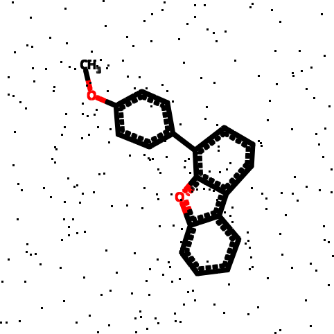 COc1ccc(-c2cccc3c2oc2ccccc23)cc1